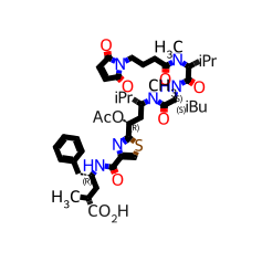 CC[C@H](C)[C@H](NC(=O)C(C(C)C)N(C)C(=O)CCCN1C(=O)C=CC1=O)C(=O)N(C)C(C[C@@H](OC(C)=O)c1nc(C(=O)N[C@@H](Cc2ccccc2)CC(C)C(=O)O)cs1)C(C)C